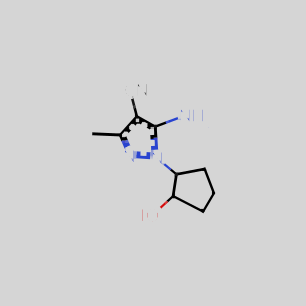 Cc1nn(C2CCCC2O)c(N)c1C#N